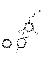 CCCC1(Cc2c(Cl)cc(OCC(=O)O)cc2Cl)C=CC(O)=C(c2ccccc2)C1